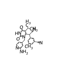 Cc1cc(C#N)cc(C(C#N)c2c(C(C)C)c(=O)[nH]c(=O)n2Cc2ccnc(N)c2)c1